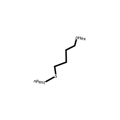 CCCCCCCCCCSCCCCC